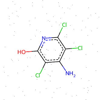 Nc1c(Cl)c(O)nc(Cl)c1Cl